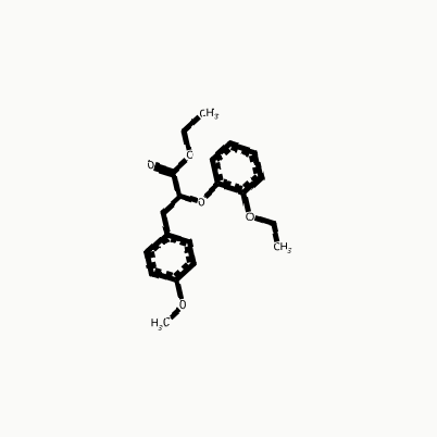 CCOC(=O)C(Cc1ccc(OC)cc1)Oc1ccccc1OCC